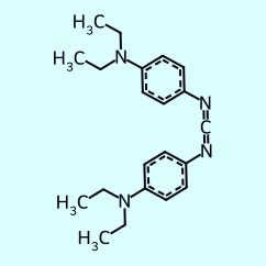 CCN(CC)c1ccc(N=C=Nc2ccc(N(CC)CC)cc2)cc1